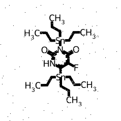 CC[CH2][Sn]([CH2]CC)([CH2]CC)[c]1[nH]c(=O)[n]([Sn]([CH2]CC)([CH2]CC)[CH2]CC)c(=O)c1F